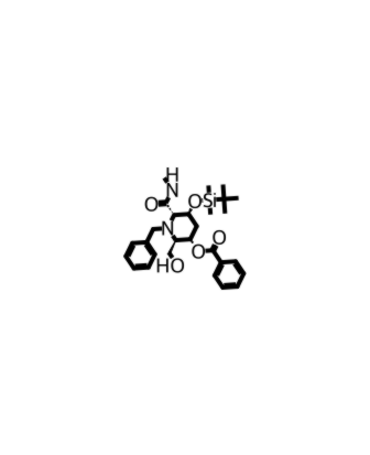 CNC(=O)[C@@H]1[C@@H](O[Si](C)(C)C(C)(C)C)C[C@H](OC(=O)c2ccccc2)[C@@H](CO)N1Cc1ccccc1